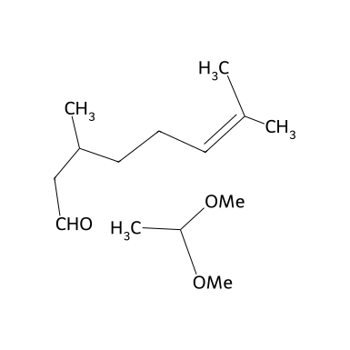 CC(C)=CCCC(C)CC=O.COC(C)OC